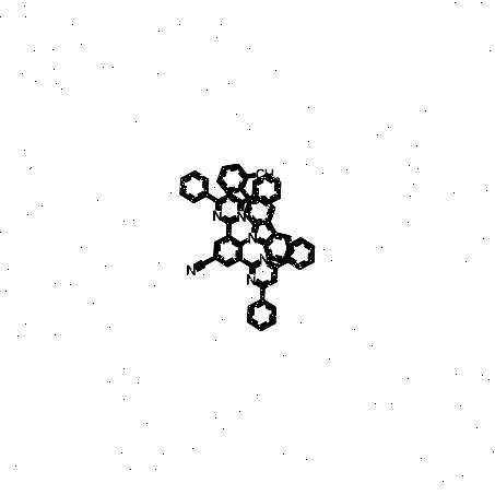 Cc1ccccc1-c1ccc2c3ccccc3n(-c3c(-c4nc(-c5ccccc5)cc(-c5ccccc5)n4)cc(C#N)cc3-c3nc(-c4ccccc4)cc(-c4ccccc4)n3)c2c1